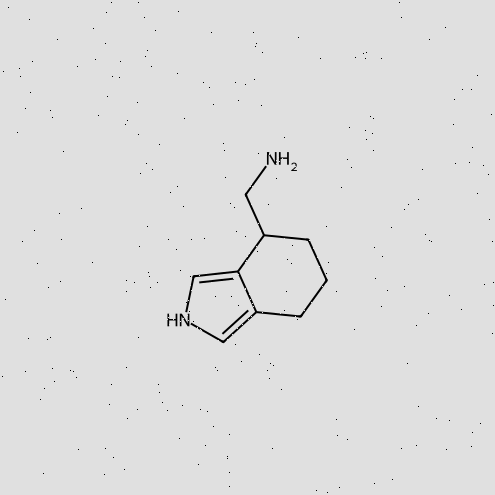 NCC1CCCc2c[nH]cc21